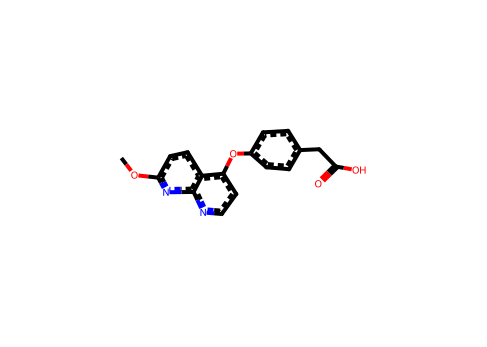 COc1ccc2c(Oc3ccc(CC(=O)O)cc3)ccnc2n1